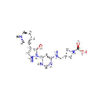 O=C(O)N1CC(CNc2cc(-n3[nH]cc(-c4cccnc4)c3=O)ncn2)C1